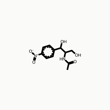 CC(=O)NC(CO)C(O)c1ccc([N+](=O)[O-])cc1